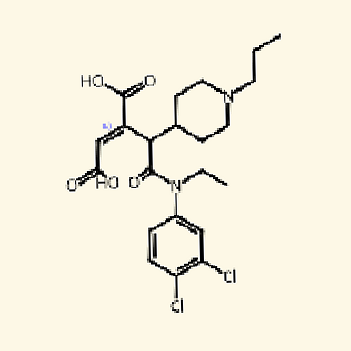 CCCN1CCC(C(C(=O)N(CC)c2ccc(Cl)c(Cl)c2)/C(=C\C(=O)O)C(=O)O)CC1